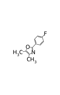 Cc1nc(-c2ccc(F)cc2)oc1C